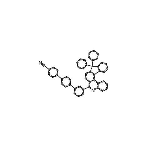 N#Cc1ccc(-c2ccc(-c3cccc(-c4nc5ccccc5c5c6c(ccc45)C(c4ccccc4)(c4ccccc4)c4ccccc4-6)c3)cc2)cc1